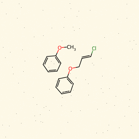 COc1ccccc1.ClC=CCOc1ccccc1